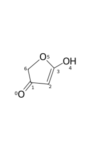 O=C1C=C(O)OC1